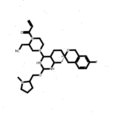 C=CC(=O)N1CCN(C2NC(OCC3CCCN3C)NC3C[C@@]4(CCC32)Cc2ccc(F)cc2CO4)CC1CC#N